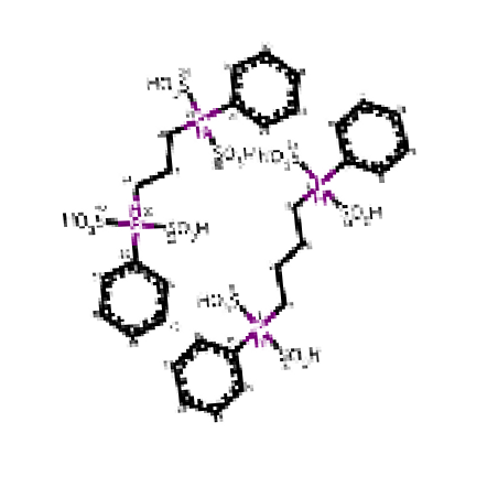 O=S(=O)(O)[PH](CCCC[PH](c1ccccc1)(S(=O)(=O)O)S(=O)(=O)O)(c1ccccc1)S(=O)(=O)O.O=S(=O)(O)[PH](CCC[PH](c1ccccc1)(S(=O)(=O)O)S(=O)(=O)O)(c1ccccc1)S(=O)(=O)O